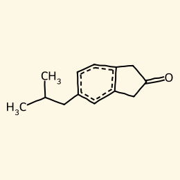 CC(C)Cc1ccc2c(c1)CC(=O)C2